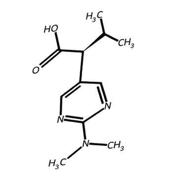 CC(C)[C@H](C(=O)O)c1cnc(N(C)C)nc1